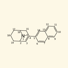 CN1C2C=C(c3ccc4ccccc4c3)CC1CCC2